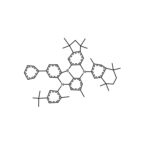 Cc1cc2c3c(c1)N(c1cc4c(cc1C)C(C)(C)CCC4(C)C)c1cc4c(cc1B3c1ccc(-c3ccccc3)cc1N2c1cc(C(C)(C)C)ccc1C)C(C)(C)CC4(C)C